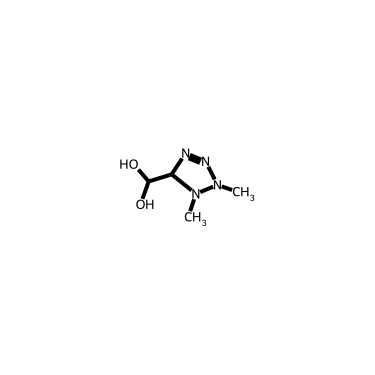 CN1N=NC(C(O)O)N1C